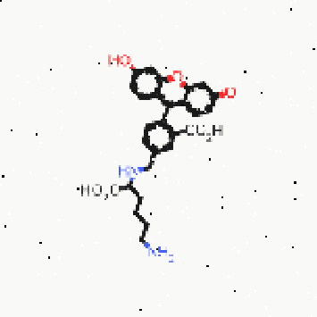 NCCCCC(NCc1ccc(-c2c3ccc(=O)cc-3oc3cc(O)ccc23)c(C(=O)O)c1)C(=O)O